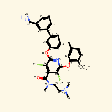 Cc1ccc(C(=O)O)c(Oc2nc(Oc3cccc(-c4cccc(CN)c4)c3)c(F)c(C(=O)N(C)CCN(C)C)c2F)c1